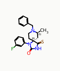 C[C@H]1C[C@]2(CCN1Cc1ccccc1)C(=S)NC(=O)N2c1cccc(F)c1